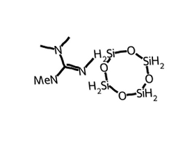 CN=C(NC)N(C)C.O1[SiH2]O[SiH2]O[SiH2]O[SiH2]1